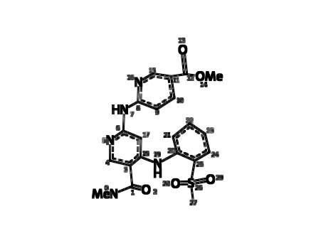 CNC(=O)c1cnc(Nc2ccc(C(=O)OC)cn2)cc1Nc1ccccc1S(C)(=O)=O